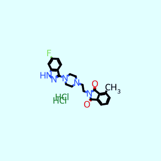 Cc1cccc2c1C(=O)N(CCN1CCN(c3n[nH]c4cc(F)ccc34)CC1)C2=O.Cl.Cl